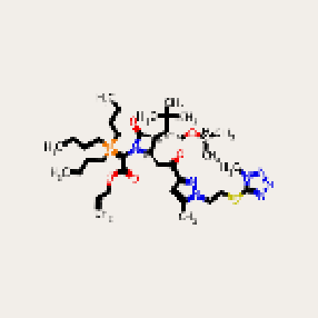 C=CCOC(=O)C(N1C(=O)[C@@H]([C@@H](CO[SiH](C)C)C(C)(C)C)[C@H]1CC(=O)c1cc(C)n(CCSc2nnnn2C)n1)=P(CCCC)(CCCC)CCCC